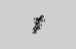 COc1ccc(CNC(=O)CC2=NNC(=C=O)N2)c(OC)c1